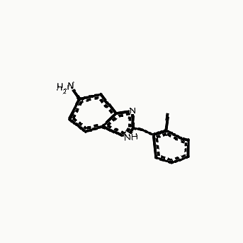 Cc1ccccc1-c1nc2cc(N)ccc2[nH]1